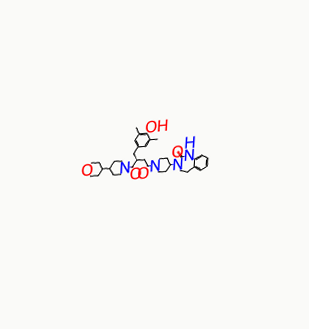 Cc1cc(C[C@@H](CC(=O)N2CCC(N3CCc4ccccc4NC3=O)CC2)C(=O)N2CCC(C3CCOCC3)CC2)cc(C)c1O